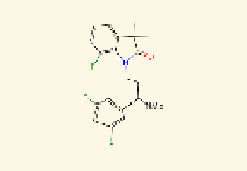 CNC(CCN1C(=O)C(C)(C)c2cccc(F)c21)c1cc(F)cc(F)c1